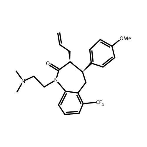 C=CC[C@@H]1C(=O)N(CCN(C)C)c2cccc(C(F)(F)F)c2C[C@@H]1c1ccc(OC)cc1